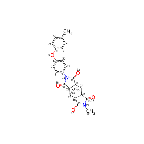 Cc1ccc(Oc2ccc(N3C(=O)C4C5C=CC(C6C(=O)N(C)C(=O)C56)C4C3=O)cc2)cc1